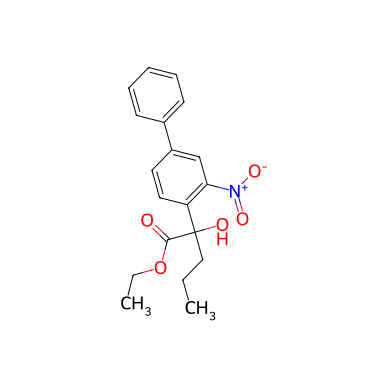 CCCC(O)(C(=O)OCC)c1ccc(-c2ccccc2)cc1[N+](=O)[O-]